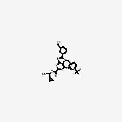 CCc1cccc(-c2nc3nc(C(=O)OC(C)C4CC4)nc(N)c3n2Cc2ccc(C(F)(F)F)cc2)c1